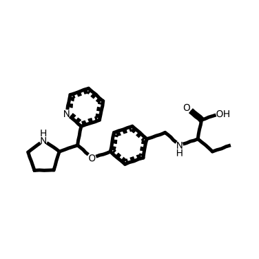 CCC(NCc1ccc(OC(c2ccccn2)C2CCCN2)cc1)C(=O)O